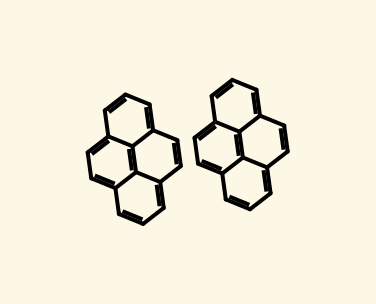 c1cc2ccc3cccc4ccc(c1)c2c34.c1cc2ccc3cccc4ccc(c1)c2c34